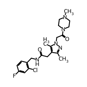 Cc1nn(CC(=O)N2CCN(C)CC2)c(C)c1CC(=O)NCc1ccc(F)cc1Cl